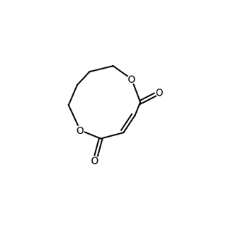 O=C1/C=C\C(=O)OCCCCO1